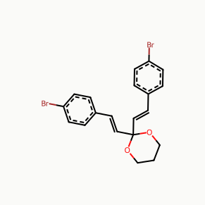 Brc1ccc(/C=C/C2(/C=C/c3ccc(Br)cc3)OCCCO2)cc1